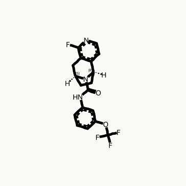 O=C(Nc1cccc(OC(F)(F)F)c1)N1[C@H]2CC[C@@H]1c1ccnc(F)c1C2